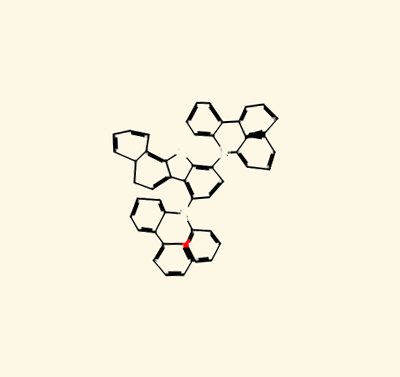 C1=CC2=c3sc4c(N(c5ccccc5)c5ccccc5-c5ccccc5)ccc(N(c5ccccc5)c5ccccc5-c5ccccc5)c4c3=CCC2C=C1